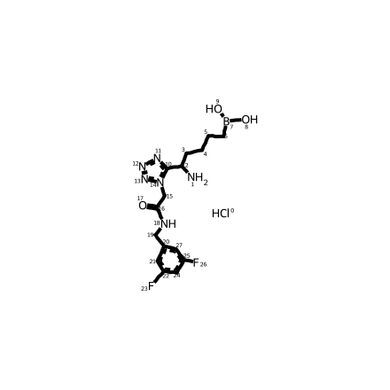 Cl.NC(CCCCB(O)O)c1nnnn1CC(=O)NCc1cc(F)cc(F)c1